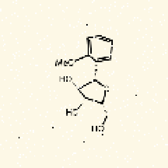 COc1ccccc1[C@@H]1O[C@H](CO)[C@H](O)[C@@H]1O